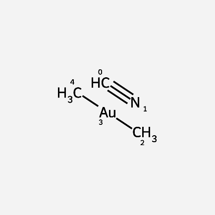 C#N.[CH3][Au][CH3]